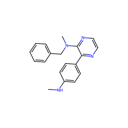 CNc1ccc(-c2nccnc2N(C)Cc2ccccc2)cc1